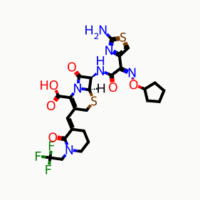 Nc1nc(/C(=N/OC2CCCC2)C(=O)N[C@@H]2C(=O)N3C(C(=O)O)=C(/C=C4\CCCN(CC(F)(F)F)C4=O)CS[C@H]23)cs1